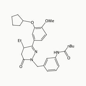 CCCCC(=O)Nc1cccc(CN2N=C(c3ccc(OC)c(OC4CCCC4)c3)C(CC)CC2=O)c1